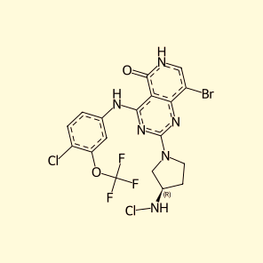 O=c1[nH]cc(Br)c2nc(N3CC[C@@H](NCl)C3)nc(Nc3ccc(Cl)c(OC(F)(F)F)c3)c12